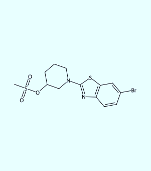 CS(=O)(=O)OC1CCCN(c2nc3ccc(Br)cc3s2)C1